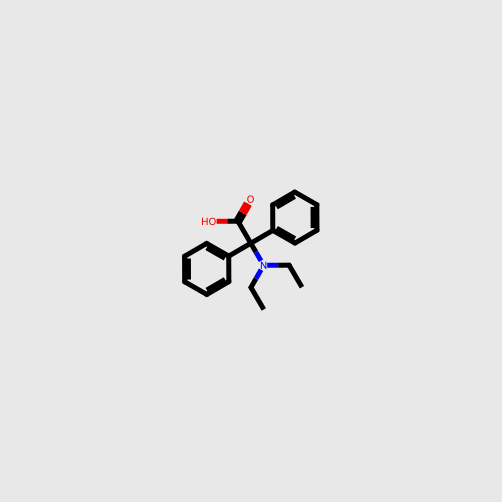 CCN(CC)C(C(=O)O)(c1ccccc1)c1ccccc1